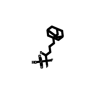 O=S(=O)(O)C(F)(F)C(F)CCCC12CC3CC(CC(C3)C1)C2